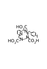 O=C(O)CN1CCN(CC(=O)O)C[C@H](Cc2ccc(I)cc2)N(CC(=O)O)Cc2cccc(n2)C1